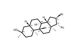 CC(=O)[C@H]1[C@H](C(C)C)C[C@H]2[C@@H]3CC[C@H]4C[C@](C)(O)CC[C@]4(C)[C@H]3CC[C@@]21C